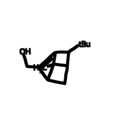 CC(C)(C)C1C2=C(CO)C3CC1C23C